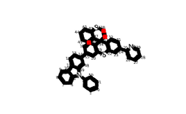 c1ccc(-n2c3ccccc3c3ccc(-c4ccc5c(c4)Sc4cc(-c6ccccn6)ccc4C54c5ccccc5Sc5ccccc54)cc32)cc1